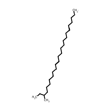 [CH2]CCCCCCCCCCCCCCCCCCCCCC(C)CC